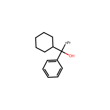 CCCC(O)(c1ccccc1)C1CCCCC1